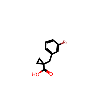 O=C(O)C1(Cc2cccc(Br)c2)CC1